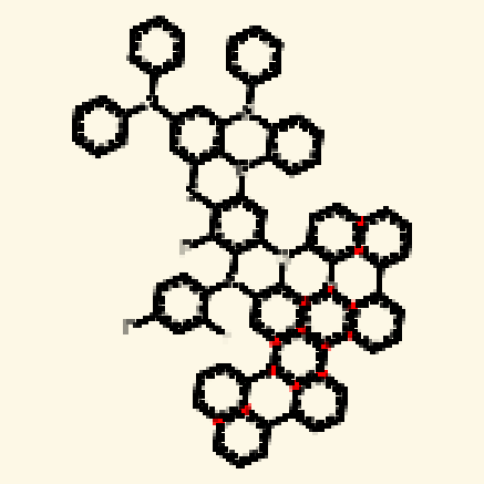 Fc1ccc(N2c3cc(N(c4ccccc4)c4c(-c5ccccc5)cccc4-c4ccccc4)cc4c3B(c3ccccc3N4c3c(-c4ccccc4)cccc3-c3ccccc3)c3cc4c(c(F)c32)Sc2cc(N(c3ccccc3)c3ccccc3)cc3c2B4c2ccccc2N3c2ccccc2)c(F)c1